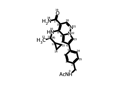 CC(=O)NCc1ccc(-c2cc3c(N[C@H](C)C4CC4)c(C(N)=O)cnn3c2)cc1